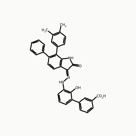 Cc1ccc(-c2c(-c3ccccc3)ccc3c2NC(=O)C3=NNc2cccc(-c3cccc(C(=O)O)c3)c2O)cc1C